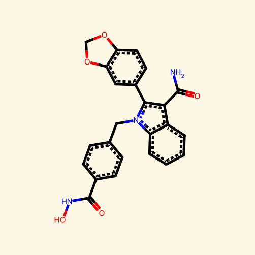 NC(=O)c1c(-c2ccc3c(c2)OCO3)n(Cc2ccc(C(=O)NO)cc2)c2ccccc12